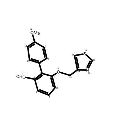 COc1ccc(-c2c(C=O)cccc2OCc2cscn2)cc1